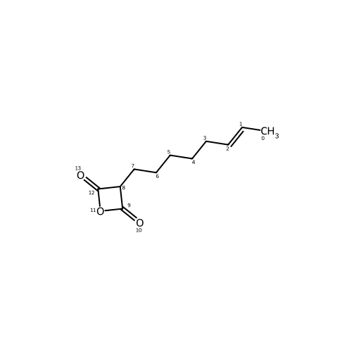 CC=CCCCCCC1C(=O)OC1=O